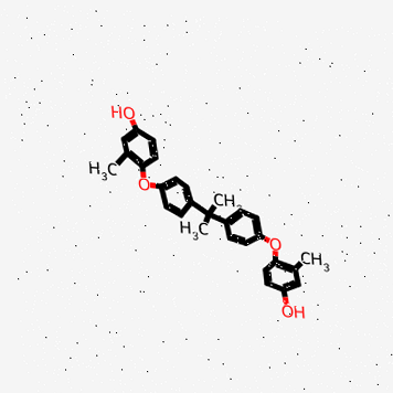 Cc1cc(O)ccc1Oc1ccc(C(C)(C)c2ccc(Oc3ccc(O)cc3C)cc2)cc1